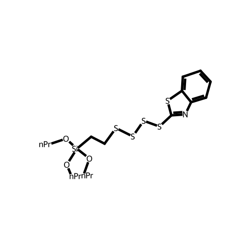 CCCO[Si](CCSSSSc1nc2ccccc2s1)(OCCC)OCCC